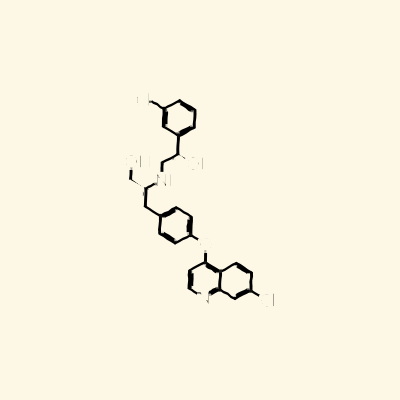 OC[C@H](Cc1ccc(Oc2ccnc3cc(Cl)ccc23)cc1)NC[C@H](O)c1cccc(Cl)c1